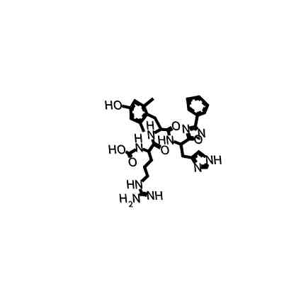 Cc1cc(O)cc(C)c1CC(NC(=O)C(CCCNC(=N)N)NC(=O)O)C(=O)NC(Cc1c[nH]cn1)c1nc(-c2ccccc2)no1